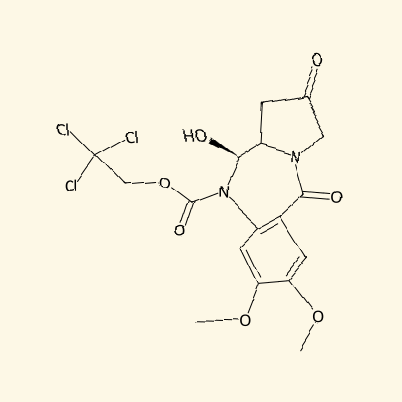 COc1cc2c(cc1OC)N(C(=O)OCC(Cl)(Cl)Cl)[C@@H](O)C1CC(=O)CN1C2=O